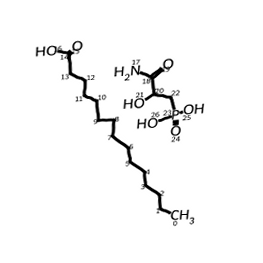 CCCCCCCCCCCCCCC(=O)O.NC(=O)C(O)CP(=O)(O)O